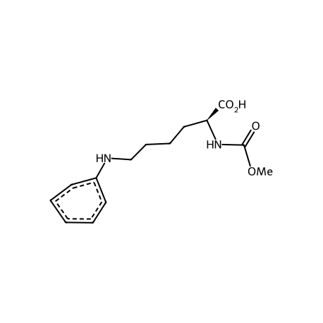 COC(=O)N[C@@H](CCCCNc1ccccc1)C(=O)O